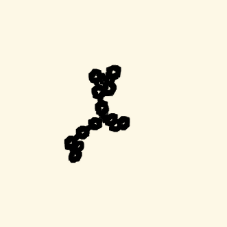 c1ccc(-n2c3ccccc3c3ccccc32)c(-c2ccc(-c3ccc(N(c4ccc(-c5ccc(-c6cccc7c6oc6ccccc67)cc5)cc4)c4ccc5c(ccc6ccccc65)c4)cc3)cc2)c1